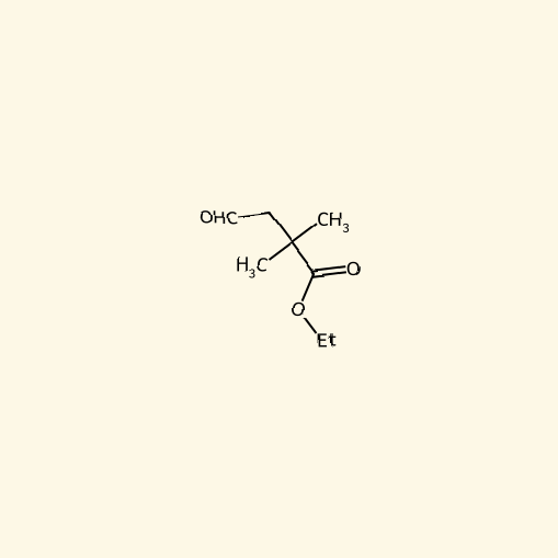 CCOC(=O)C(C)(C)CC=O